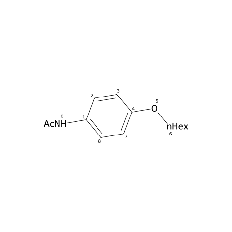 [CH2]C(=O)Nc1ccc(OCCCCCC)cc1